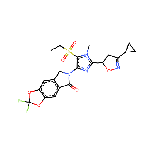 CCS(=O)(=O)c1c(N2Cc3cc4c(cc3C2=O)OC(F)(F)O4)nc(C2CC(C3CC3)=NO2)n1C